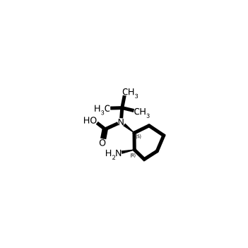 CC(C)(C)N(C(=O)O)[C@H]1CCCC[C@H]1N